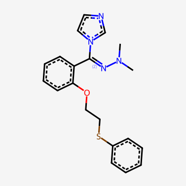 CN(C)/N=C(/c1ccccc1OCCSc1ccccc1)n1ccnc1